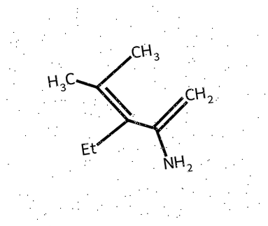 C=C(N)C(CC)=C(C)C